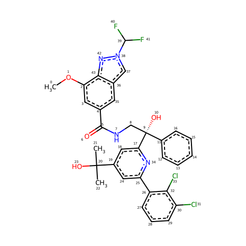 COc1cc(C(=O)NC[C@@](O)(c2ccccc2)c2cc(C(C)(C)O)cc(-c3cccc(Cl)c3Cl)n2)cc2cn(C(F)F)nc12